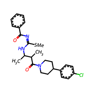 CSC(=NC(=O)c1ccccc1)NC(C)C(C)C(=O)N1CCC(c2ccc(Cl)cc2)CC1